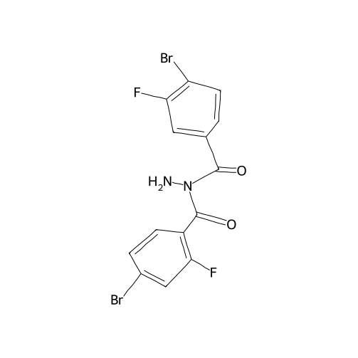 NN(C(=O)c1ccc(Br)c(F)c1)C(=O)c1ccc(Br)cc1F